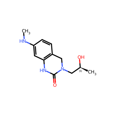 CNc1ccc2c(c1)NC(=O)N(C[C@H](C)O)C2